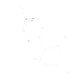 Cc1cc(C)c(-n2cnc(N)nc2=S)c(C)c1